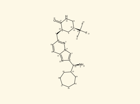 N[C@H](c1cn2nc(C[C@@H]3C[C@H](C(F)(F)F)CNC3=O)ccc2n1)C1CCCCCC1